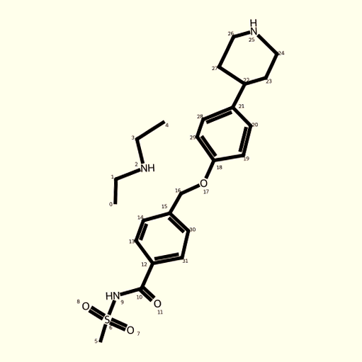 CCNCC.CS(=O)(=O)NC(=O)c1ccc(COc2ccc(C3CCNCC3)cc2)cc1